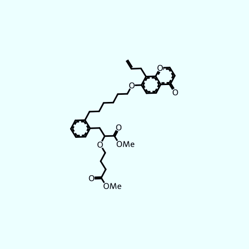 C=CCc1c(OCCCCCCc2ccccc2CC(OCCCC(=O)OC)C(=O)OC)ccc2c(=O)ccoc12